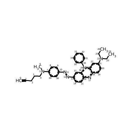 C#CCCCN(C)c1ccc(N=Nc2ccc3nc4ccc(N(CC)CC)cc4[n+](-c4ccccc4)c3c2)cc1